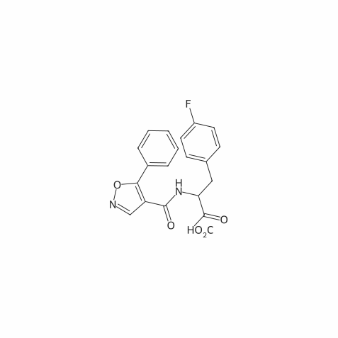 O=C(O)C(=O)C(Cc1ccc(F)cc1)NC(=O)c1cnoc1-c1ccccc1